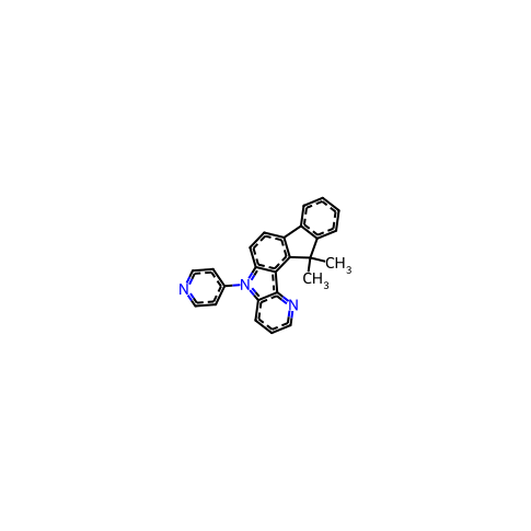 CC1(C)c2ccccc2-c2ccc3c(c21)c1ncccc1n3-c1ccncc1